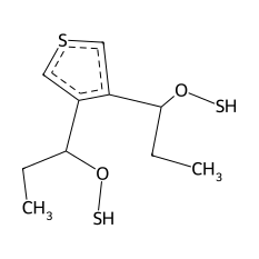 CCC(OS)c1cscc1C(CC)OS